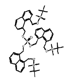 CC(C)(C)[Si](C)(C)OCc1cccc2cccc(COP(=O)(OCc3cccc4cccc(CO[Si](C)(C)C(C)(C)C)c34)OCc3cccc4cccc(CO[Si](C)(C)C(C)(C)C)c34)c12